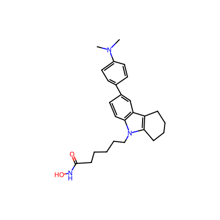 CN(C)c1ccc(-c2ccc3c(c2)c2c(n3CCCCCC(=O)NO)CCCC2)cc1